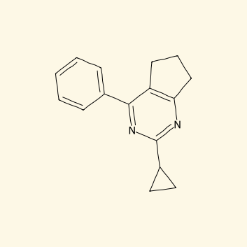 c1ccc(-c2nc(C3CC3)nc3c2CCC3)cc1